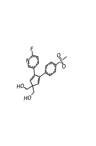 CS(=O)(=O)c1ccc(C2=CC(CO)(CO)C=C2c2ccc(F)nc2)cc1